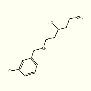 CCCC(O)CCNCc1cccc(Cl)c1